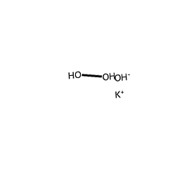 OO.[K+].[OH-]